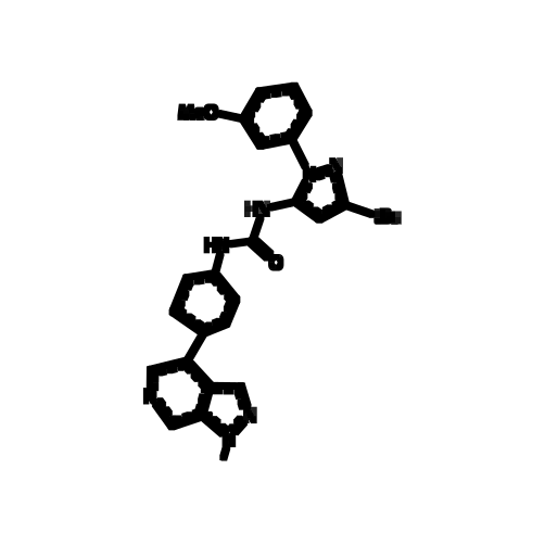 COc1cccc(-n2nc(C(C)(C)C)cc2NC(=O)Nc2ccc(-c3cncc4c3cnn4C)cc2)c1